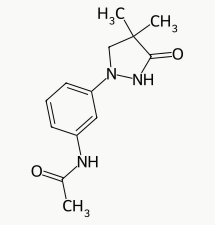 CC(=O)Nc1cccc(N2CC(C)(C)C(=O)N2)c1